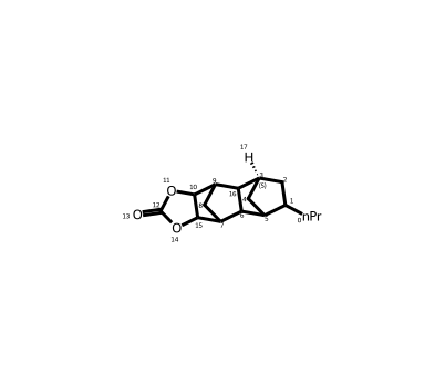 CCCC1C[C@H]2CC1C1C3CC(C4OC(=O)OC34)C12